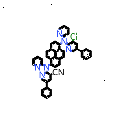 N#Cc1cc(-c2ccccc2)cnc1N(c1ccccn1)c1ccc2ccc3c(N(c4ccccn4)c4ncc(-c5ccccc5)cc4Cl)ccc4ccc1c2c43